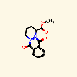 COC(=O)C1CCCn2c(=O)c3ccccc3c(=O)n21